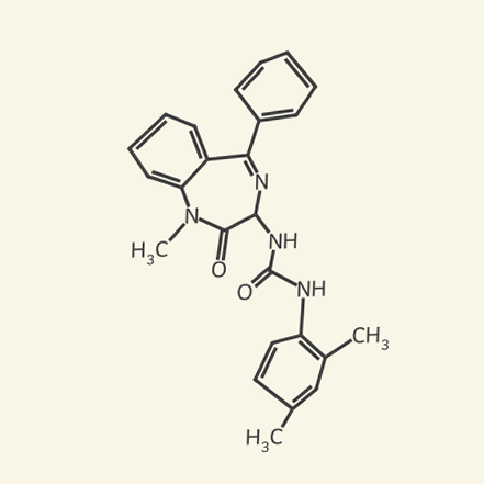 Cc1ccc(NC(=O)NC2N=C(c3ccccc3)c3ccccc3N(C)C2=O)c(C)c1